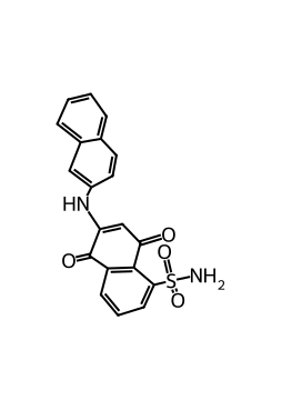 NS(=O)(=O)c1cccc2c1C(=O)C=C(Nc1ccc3ccccc3c1)C2=O